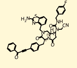 N#CCN(C(=O)NCc1ccc(F)cc1)N1CC(=O)N2[C@@H](Cc3ccc(C#CC(=O)c4ccccc4)cc3)C(=O)N(Cc3cccc4sc(N)nc34)C[C@@H]21